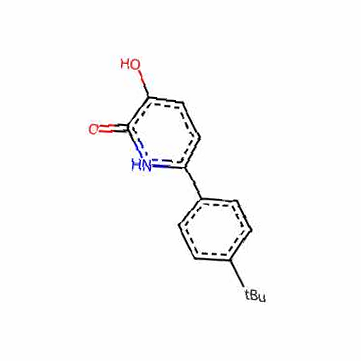 CC(C)(C)c1ccc(-c2ccc(O)c(=O)[nH]2)cc1